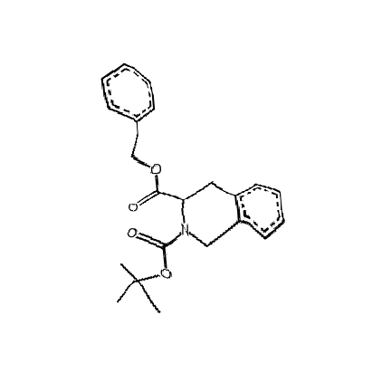 CC(C)(C)OC(=O)N1Cc2ccccc2CC1C(=O)OCc1ccccc1